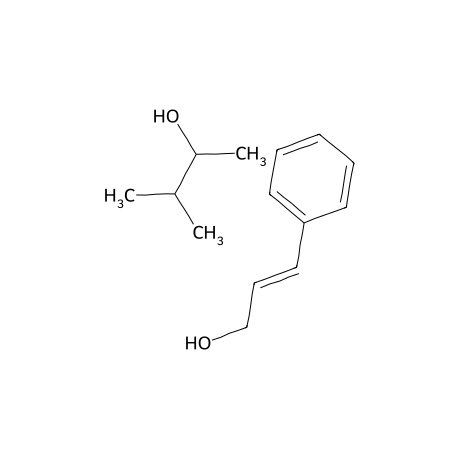 CC(C)C(C)O.OCC=Cc1ccccc1